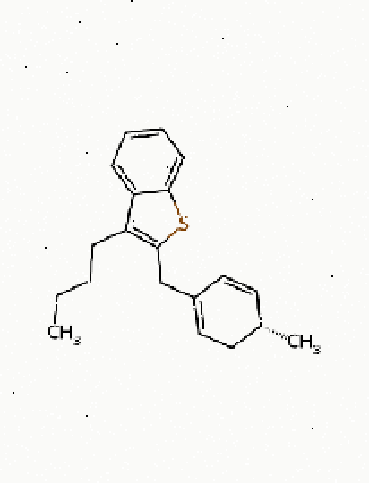 CCCCc1c(CC2=CC[C@@H](C)C=C2)sc2ccccc12